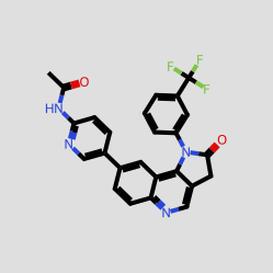 CC(=O)Nc1ccc(-c2ccc3ncc4c(c3c2)N(c2cccc(C(F)(F)F)c2)C(=O)C4)cn1